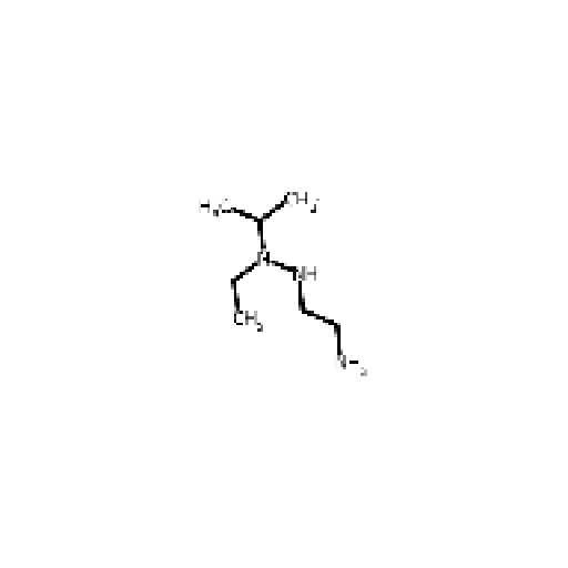 [CH2]C(C)N(CC)NCCN